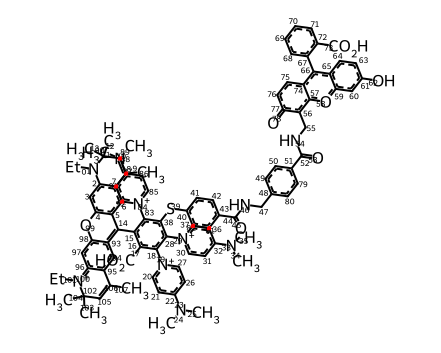 CCN1c2cc3c(cc2C(C)=CC1(C)C)C(c1c(C(=O)O)c(-[n+]2ccc(N(C)C)cc2)c(-[n+]2ccc(N(C)C)cc2)c(Sc2ccc(C(=O)NCc4ccc(C(=O)NCc5c6oc7cc(O)ccc7c(-c7ccccc7C(=O)O)c-6ccc5=O)cc4)cc2)c1-[n+]1ccc(N(C)C)cc1)=c1cc2c(cc1O3)=[N+](CC)C(C)(C)C=C2C